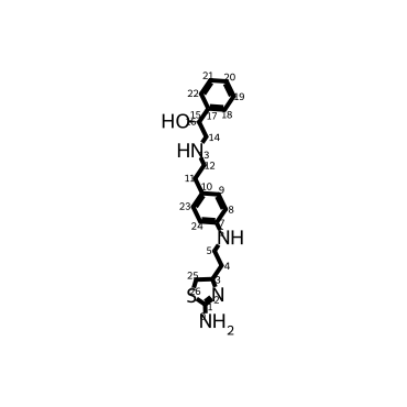 NC1=NC(CCNc2ccc(CCNC[C@H](O)c3ccccc3)cc2)CS1